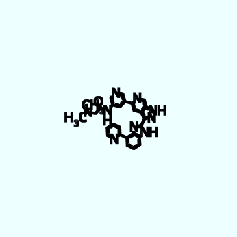 CN(C)CC(=O)Nc1cncc(-c2cc3c(-c4nc5c(-c6ccccn6)cccc5[nH]4)n[nH]c3cn2)c1